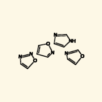 c1c[nH]cn1.c1cnoc1.c1cocn1.c1conn1